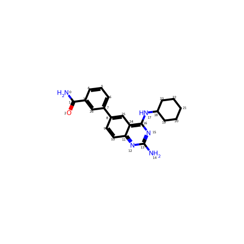 NC(=O)c1cccc(-c2ccc3nc(N)nc(NC4CCCCC4)c3c2)c1